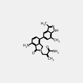 C=C(CN1Cc2c(-c3cc(C)c4[nH]nc(C)c4c3)ccc(N)c2C1=O)C(N)=O